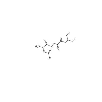 CCC(CC)CNC(=O)Cn1cc(Br)cc(N)c1=O